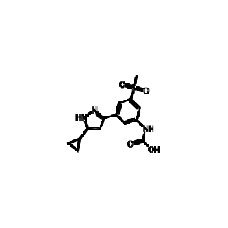 CS(=O)(=O)c1cc(NC(=O)O)cc(-c2cc(C3CC3)[nH]n2)c1